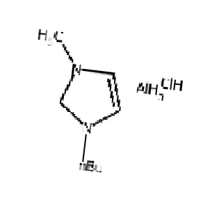 CCCCN1C=CN(C)C1.Cl.[AlH3]